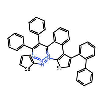 c1ccc(-c2ccccc2-c2c[se]c(N=Nc3ccc[se]3)c2-c2ccccc2-c2nnnc(-c3ccccc3)c2-c2ccccc2)cc1